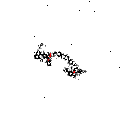 CCc1cccc2cc(OCOC)cc(-c3ncc4c(N5CC6CCC(C5)N6C(=O)OC(C)(C)C)nc(OCCN5CCC(F)(CN6CCN(c7cnc(C(=O)N[C@H](C(=O)N8C[C@H](O)C[C@H]8C(=O)N[C@@H](C)c8ccc(-c9scnc9C)cc8)C(C)(C)C)cn7)CC6)CC5)nc4c3F)c12